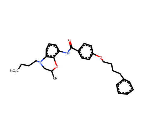 CCOC(=O)CCCN1CC(C#N)Oc2c(NC(=O)c3ccc(OCCCCc4ccccc4)cc3)cccc21